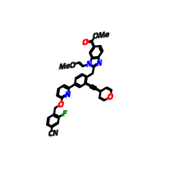 COCCn1c(Cc2ccc(-c3cccc(OCc4ccc(C#N)cc4F)n3)cc2C#CC2CCOCC2)nc2ccc(C(=O)OC)cc21